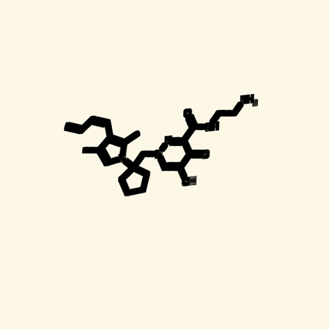 C=C/C=C\c1c(C)cn(C2(Cn3cc(O)c(=O)c(C(=O)NCCN)n3)CCCC2)c1C